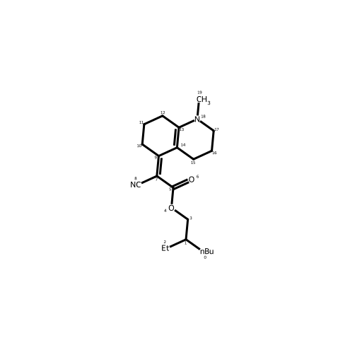 CCCCC(CC)COC(=O)/C(C#N)=C1/CCCC2=C1CCCN2C